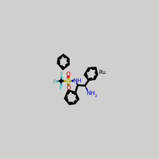 N[C@H](c1ccccc1)[C@H](NS(=O)(=O)C(F)(F)F)c1ccccc1.[Ru].c1ccccc1